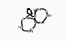 C1=CCC(CN2CCCNCCNCCCNCC2)(CN2CCCNCCNCCCNCC2)C=C1